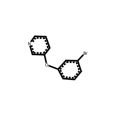 Brc1[c]ccc(Oc2cccnc2)c1